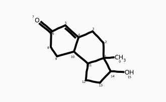 CC12CCC3=CC(=O)CCC3C1CCC2O